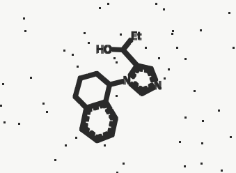 CCC(O)c1cncn1C1CCCc2ccccc21